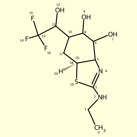 CCNC1=NC2C(O)C(O)C(C(O)C(F)(F)F)C[C@@H]2S1